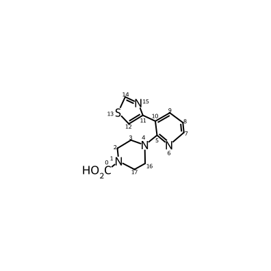 O=C(O)N1CCN(c2ncccc2-c2cscn2)CC1